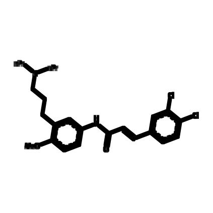 CCCN(CCC)CCCc1cc(NC(=O)C=Cc2ccc(Cl)c(Cl)c2)ccc1OC